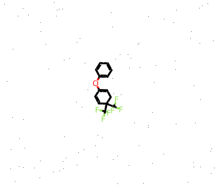 FC(F)(F)C1(C(F)(F)F)C=CC(Oc2ccccc2)=CC1